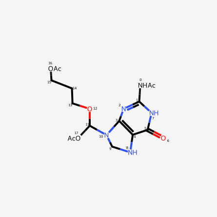 CC(=O)Nc1nc2c(c(=O)[nH]1)NCN2C(OCCCOC(C)=O)OC(C)=O